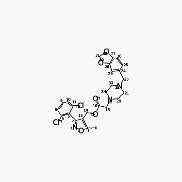 Cc1onc(-c2c(Cl)cccc2Cl)c1COC(=O)CN1CCN(Cc2ccc3c(c2)OCO3)CC1